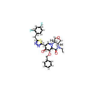 CCN1C(=O)c2c(OCc3ccccc3)c(=O)c(-c3nnc(Cc4ccc(F)cc4F)s3)cn2[C@@H]2COC[C@H]21